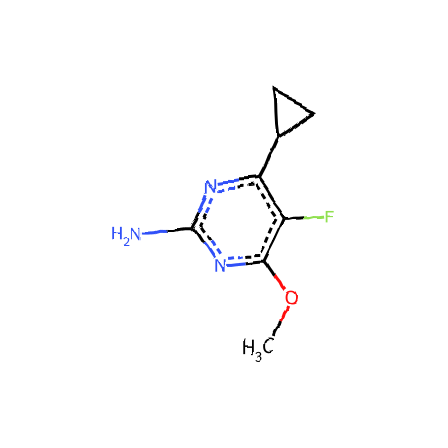 COc1nc(N)nc(C2CC2)c1F